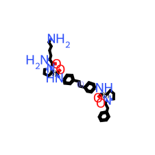 NCCCCC(N)C(=O)N1CCC[C@H]1C(=O)Nc1ccc(/C=C/c2ccc(NC(=O)[C@@H]3CCCN3C(=O)Cc3ccccc3)cc2)cc1